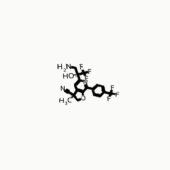 C[C@]1(C#N)COc2c1cc([C@@](O)(CN)C(F)(F)F)nc2-c1ccc(C(F)(F)F)cc1